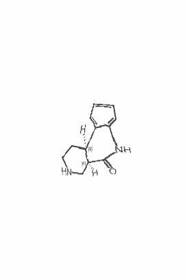 O=C1Nc2ccccc2[C@@H]2CCNC[C@H]12